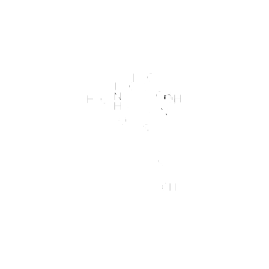 CCSCCSC(=NO)C(C(=O)NC)C(C)(C)C